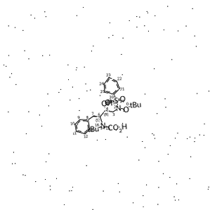 CC(C)(C)ON(C[C@@H](O)[C@H](Cc1ccccc1)N(C(=O)O)C(C)(C)C)S(=O)(=O)c1ccccc1